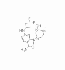 C[C@@H]1CC[C@@H](Nc2nc(NC3CC(F)(F)C3)ncc2C(N)=O)C[C@H]1O